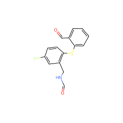 O=CNCc1cc(F)ccc1Sc1ccccc1C=O